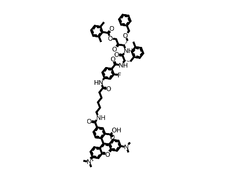 Cc1cccc(C[C@H](NC(=O)c2ccc(NC(=O)CCCCCNC(=O)c3ccc(-c4c5ccc(=[N+](C)C)cc-5oc5cc(N(C)C)ccc45)c(C(=O)O)c3)cc2F)C(=O)N[C@@H](COCc2ccccc2)C(=O)COC(=O)c2c(C)cccc2C)c1